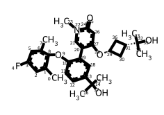 Cc1cc(F)cc(C)c1Oc1ccc(C(C)(C)O)cc1-c1cn(C)c(=O)cc1O[C@H]1C[C@@H](C(C)(C)O)C1